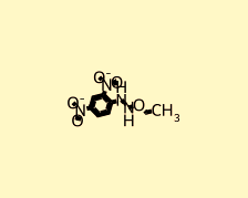 CCONNc1ccc([N+](=O)[O-])cc1[N+](=O)[O-]